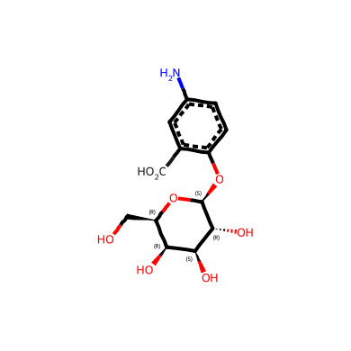 Nc1ccc(O[C@@H]2O[C@H](CO)[C@H](O)[C@H](O)[C@H]2O)c(C(=O)O)c1